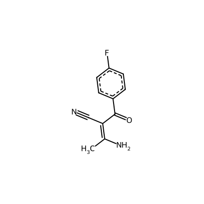 CC(N)=C(C#N)C(=O)c1ccc(F)cc1